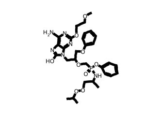 COCCOc1nc(N)c2nc(O)n(CC(COc3ccccc3)OCP(=O)(NC(C)COOC(C)C)Oc3ccccc3)c2n1